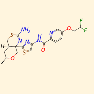 C[C@H]1C[C@H]2CSC(N)=NC2(c2nc(NC(=O)c3ccc(OCC(F)F)cn3)cs2)CO1